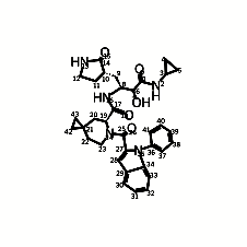 O=C(NC1CC1)C(O)[C@H](C[C@@H]1CCNC1=O)NC(=O)[C@@H]1CC2(CCN1C(=O)c1cc3ccccc3n1-c1ccccc1)CC2